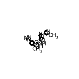 Cc1cc(-n2ncc3cc(NC(=O)NC(C)c4ccc(-n5cncn5)cc4)ncc32)ccn1